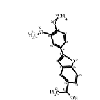 COc1ccc(-c2cc3cc(C(C)O)ccc3o2)cc1OC